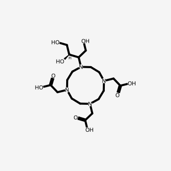 O=C(O)CN1CCN(CC(=O)O)CCN(C(CO)[C@@H](O)CO)CCN(CC(=O)O)CC1